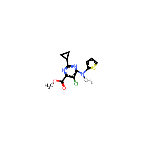 COC(=O)c1nc(C2CC2)nc(N(C)c2cccs2)c1Cl